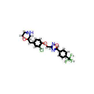 FC(F)(F)c1ccc(-c2nc(COc3ccc(CC4CNCCO4)cc3Cl)no2)cc1